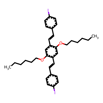 CCCCCCOc1cc(C=Cc2ccc(I)cc2)c(OCCCCCC)cc1C=Cc1ccc(I)cc1